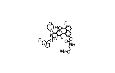 C#Cc1c(F)ccc2cc(OC(=O)NCCOC)cc(-c3ncc4c(N5CCCOCC5)nc(OC[C@@]56CCCN5C[C@H](F)C6)nc4c3F)c12